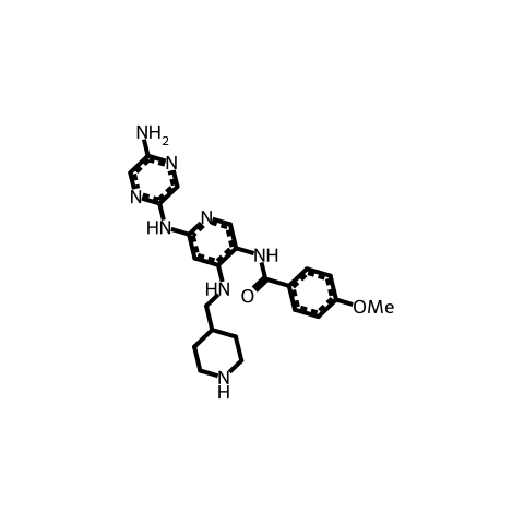 COc1ccc(C(=O)Nc2cnc(Nc3cnc(N)cn3)cc2NCC2CCNCC2)cc1